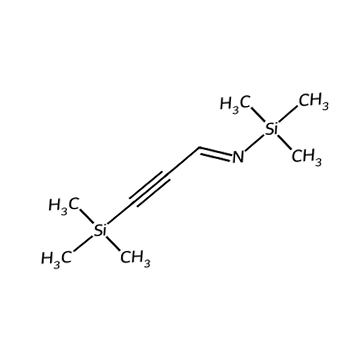 C[Si](C)(C)C#CC=N[Si](C)(C)C